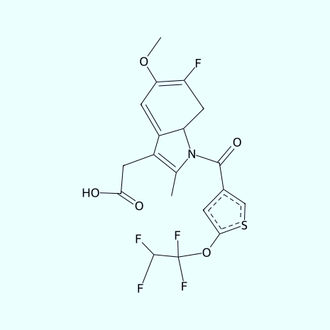 COC1=C(F)CC2C(=C1)C(CC(=O)O)=C(C)N2C(=O)c1csc(OC(F)(F)C(F)F)c1